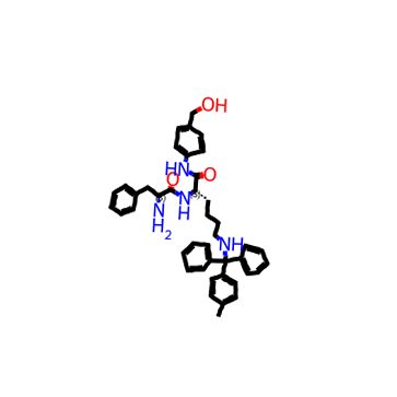 Cc1ccc(C(NCCCC[C@H](NC(=O)[C@@H](N)Cc2ccccc2)C(=O)Nc2ccc(CO)cc2)(c2ccccc2)c2ccccc2)cc1